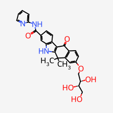 CC1(C)c2cc(OC[C@@H](O)[C@H](O)CO)ccc2C(=O)c2c1[nH]c1cc(C(=O)Nc3ccccn3)ccc21